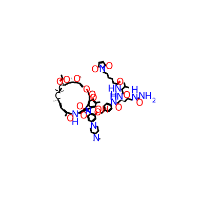 CO[C@H]1/C=C/O[C@@]2(C)Oc3c(C)c(O)c4c(=O)c(c5oc6cc(N7CCC(N(C)C)CC7)cc(OCc7ccc(NC(=O)[C@H](CCCNC(N)=O)NC(=O)[C@@H](NC(=O)CCCCCN8C(=O)C=CC8=O)C(C)C)cc7)c6nc-5c4c3C2=O)NC(=O)/C(C)=C\C=C\[C@H](C)C[C@@H](C)C[C@@H](C)[C@H](OC(C)=O)[C@@H]1C